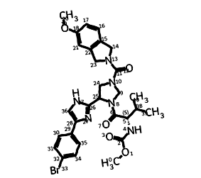 COC(=O)N[C@H](C(=O)N1CN(C(=O)N2Cc3ccc(OC)cc3C2)CC1c1nc(-c2ccc(Br)cc2)c[nH]1)C(C)C